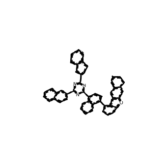 c1ccc2cc(-c3nc(-c4ccc5ccccc5c4)nc(-c4ccc(-c5cccc6oc7cc8ccccc8cc7c56)c5ccccc45)n3)ccc2c1